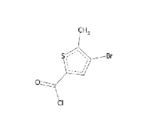 Cc1sc(C(=O)Cl)cc1Br